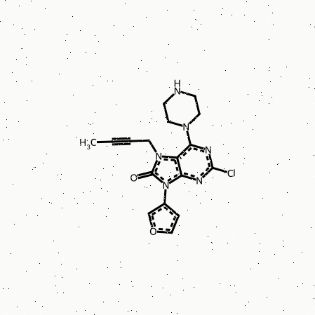 CC#CCn1c(=O)n(-c2ccoc2)c2nc(Cl)nc(N3CCNCC3)c21